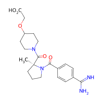 C[C@@]1(C(=O)N2CCC(OCC(=O)O)CC2)CCCN1C(=O)c1ccc(C(=N)N)cc1